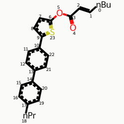 CCCC/C=C/C(=O)Oc1ccc(-c2ccc(-c3ccc(CCC)cc3)cc2)s1